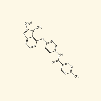 Cn1c(C(=O)O)cc2cccc(Oc3ccc(NC(=O)c4ccc(C(F)(F)F)cc4)cn3)c21